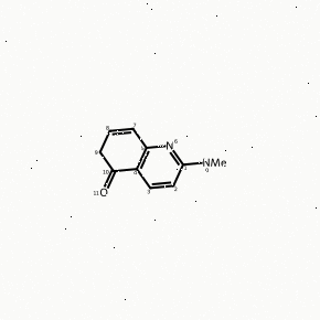 CNc1ccc2c(n1)C=CCC2=O